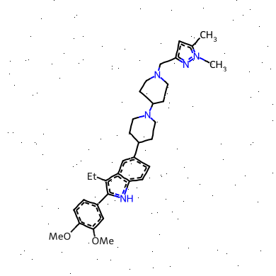 CCc1c(-c2ccc(OC)c(OC)c2)[nH]c2ccc(C3CCN(C4CCN(Cc5cc(C)n(C)n5)CC4)CC3)cc12